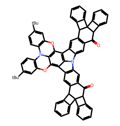 CC(C)(C)c1ccc2c(c1)Oc1c3c(c4c5cc6c(cc5n5c7cc8c(cc7c1c45)C1c4ccccc4C14c1ccccc1C4C8=O)C(=O)C1c4ccccc4C14c1ccccc1C64)Oc1cc(C(C)(C)C)ccc1N23